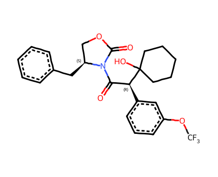 O=C1OC[C@H](Cc2ccccc2)N1C(=O)[C@H](c1cccc(OC(F)(F)F)c1)C1(O)CCCCC1